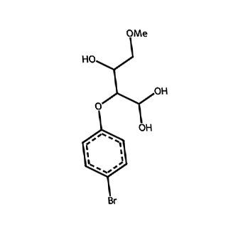 COCC(O)C(Oc1ccc(Br)cc1)C(O)O